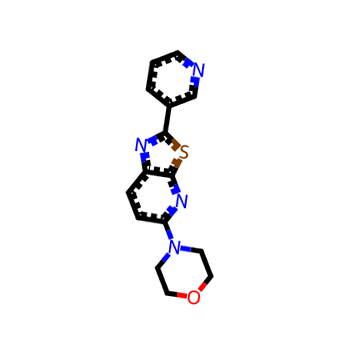 c1cncc(-c2nc3ccc(N4CCOCC4)nc3s2)c1